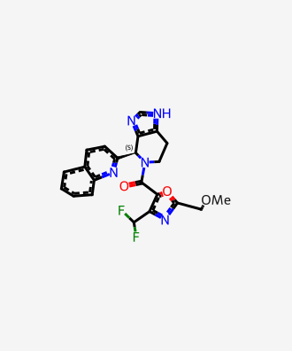 COCc1nc(C(F)F)c(C(=O)N2CCc3[nH]cnc3[C@@H]2c2ccc3ccccc3n2)o1